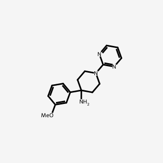 COc1cccc(C2(N)CCN(c3ncccn3)CC2)c1